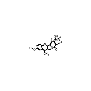 CCOc1ccc2nc3c(c(C)c2c1)Cn1c-3cc2c(c1=O)COC(=O)[C@]2(O)CC